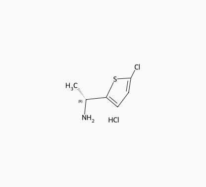 C[C@@H](N)c1ccc(Cl)s1.Cl